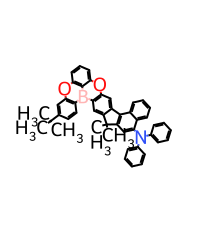 CC(C)(C)c1ccc2c(c1)Oc1cccc3c1B2c1cc2c(cc1O3)-c1c(cc(N(c3ccccc3)c3ccccc3)c3ccccc13)C2(C)C